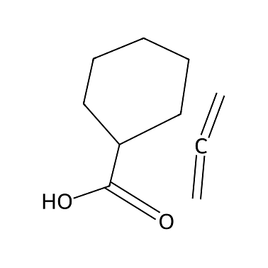 C=C=C.O=C(O)C1CCCCC1